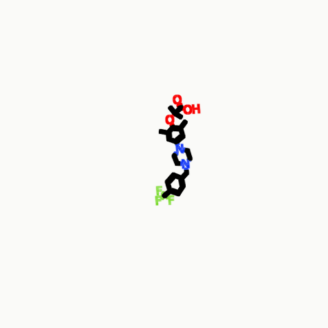 Cc1cc(N2CCN(Cc3ccc(C(F)(F)F)cc3)CC2)cc(C)c1OC(C)(C)C(=O)O